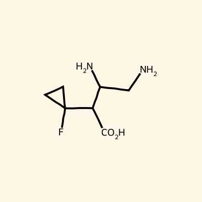 NCC(N)C(C(=O)O)C1(F)CC1